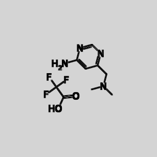 CN(C)Cc1cc(N)ncn1.O=C(O)C(F)(F)F